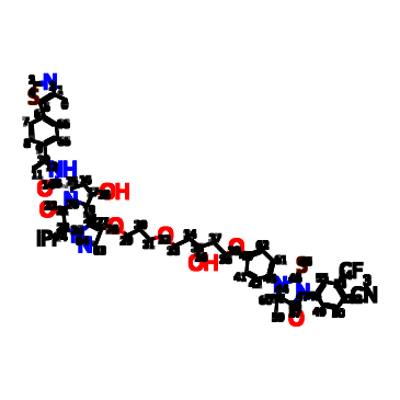 Cc1ncsc1-c1ccc([C@H](C)NC(=O)[C@@H]2C[C@@H](O)CN2C(=O)C(C(C)C)n2cc(OCCCOCCC(O)CCOc3ccc(N4C(=S)N(c5ccc(C#N)c(C(F)(F)F)c5)C(=O)C4(C)C)cc3)cn2)cc1